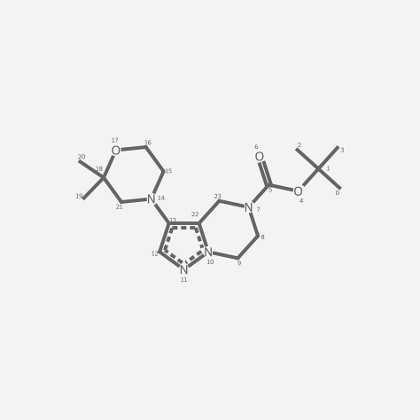 CC(C)(C)OC(=O)N1CCn2ncc(N3CCOC(C)(C)C3)c2C1